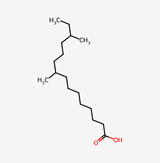 CCC(C)CCCC(C)CCCCCCCC(=O)O